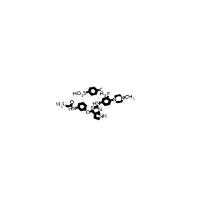 C=CC(=O)Nc1cccc(Oc2nc(Nc3ccc(N4CCN(C)CC4)c(F)c3)nc3[nH]ccc23)c1.Cc1ccc(S(=O)(=O)O)cc1